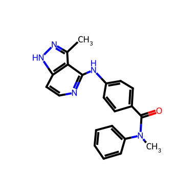 Cc1n[nH]c2ccnc(Nc3ccc(C(=O)N(C)c4ccccc4)cc3)c12